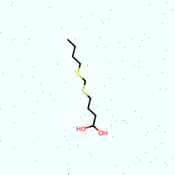 CCCCSCSCCCC(O)O